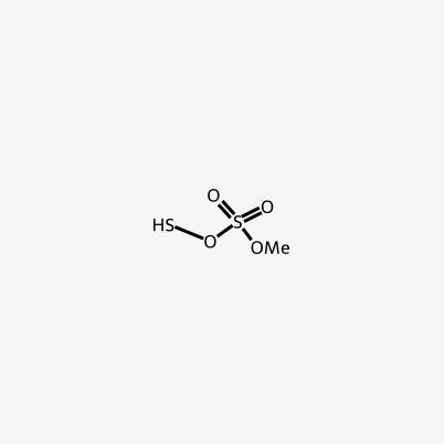 COS(=O)(=O)OS